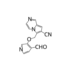 N#Cc1cc2cnccn2c1COc1cnccc1C=O